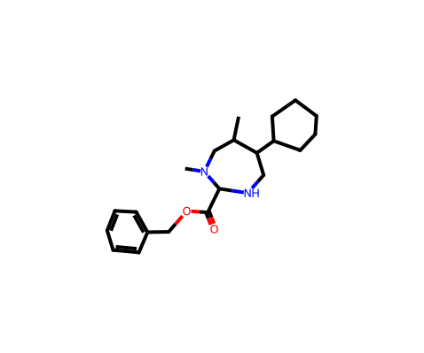 CC1CN(C)C(C(=O)OCc2ccccc2)NCC1C1CCCCC1